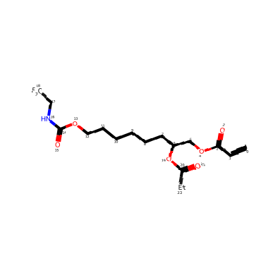 C=CC(=O)OCC(CCCCCCOC(=O)NCC(F)(F)F)OC(=O)CC